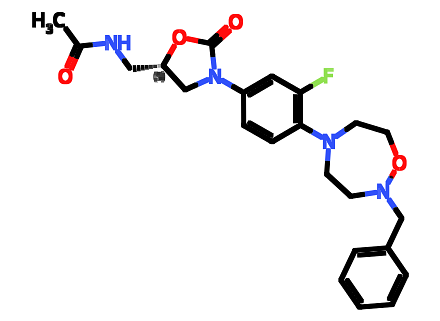 CC(=O)NC[C@H]1CN(c2ccc(N3CCON(Cc4ccccc4)CC3)c(F)c2)C(=O)O1